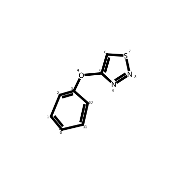 [c]1ccc(Oc2csnn2)cc1